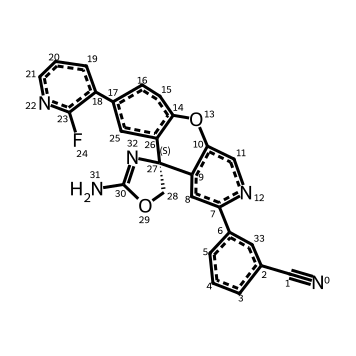 N#Cc1cccc(-c2cc3c(cn2)Oc2ccc(-c4cccnc4F)cc2[C@@]32COC(N)=N2)c1